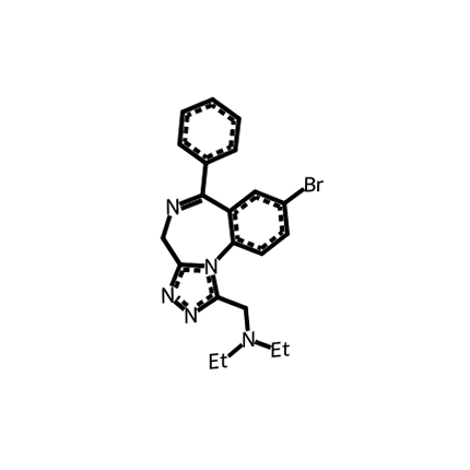 CCN(CC)Cc1nnc2n1-c1ccc(Br)cc1C(c1ccccc1)=NC2